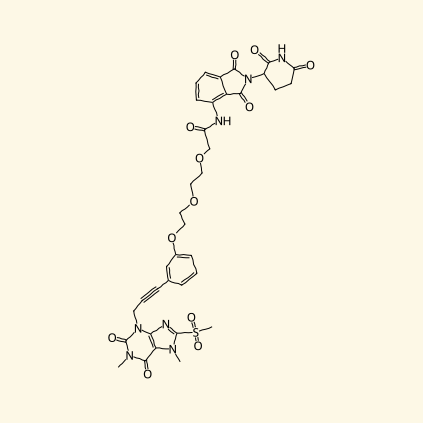 Cn1c(=O)c2c(nc(S(C)(=O)=O)n2C)n(CC#Cc2cccc(OCCOCCOCC(=O)Nc3cccc4c3C(=O)N(C3CCC(=O)NC3=O)C4=O)c2)c1=O